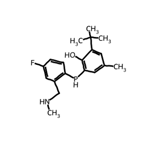 CNCc1cc(F)ccc1Pc1cc(C)cc(C(C)(C)C)c1O